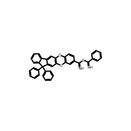 N=C(SC(=N)c1ccc2c(c1)Oc1cc3c(cc1O2)-c1ccccc1C3(c1ccccc1)c1ccccc1)c1ccccc1